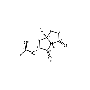 CC(=O)O[C@@H]1C[C@@H]2CCC(=O)N2C1=O